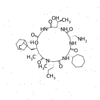 CCC[C@H]1C(=O)N[C@@H](C2CCCCCC2)C(=O)N[C@@H](CN)C(=O)N[C@@H]([C@H](C)O)C(=O)NCC(=O)O[C@H](C[C@H]2CC3CCC2CC3)[C@@H](C)C(=O)N1C